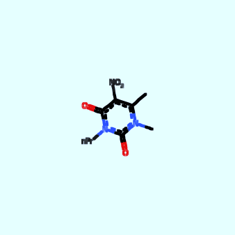 CCCn1c(=O)c([N+](=O)[O-])c(C)n(C)c1=O